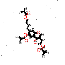 C=C(C)C(=O)OCCCCc1cc2occ(CCOC(=O)C(=C)C)c(=O)c2cc1OC(=O)C(=C)C